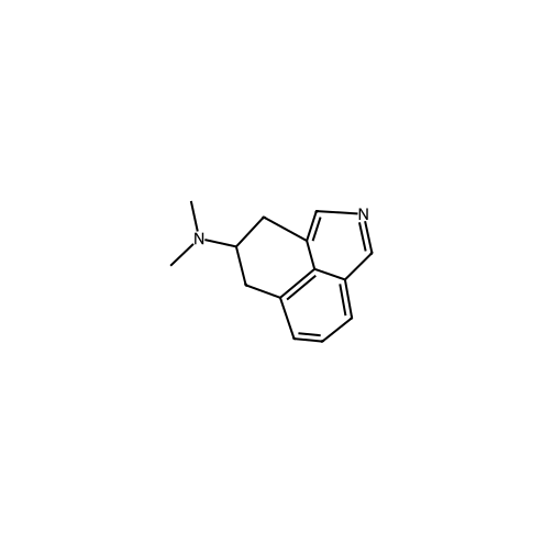 CN(C)C1Cc2cccc3cncc(c23)C1